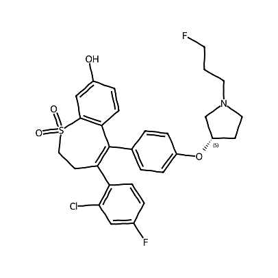 O=S1(=O)CCC(c2ccc(F)cc2Cl)=C(c2ccc(O[C@H]3CCN(CCCF)C3)cc2)c2ccc(O)cc21